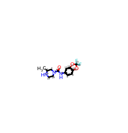 CC1CN(C(=O)Nc2ccc3c(c2)OC(F)(F)O3)CCN1